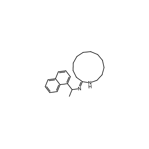 CC(/N=C1\CCCCCCCCCCCN1)c1cccc2ccccc12